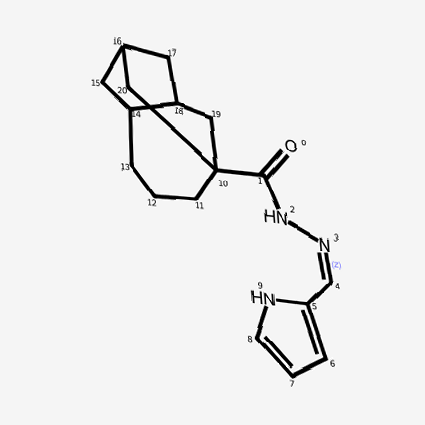 O=C(N/N=C\c1ccc[nH]1)C12CCCC3CC(CC3C1)C2